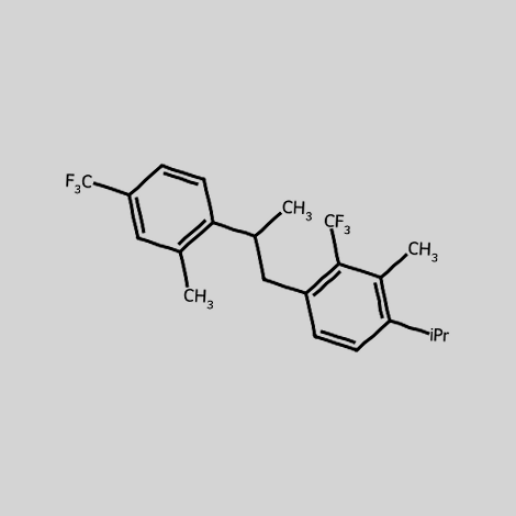 Cc1cc(C(F)(F)F)ccc1C(C)Cc1ccc(C(C)C)c(C)c1C(F)(F)F